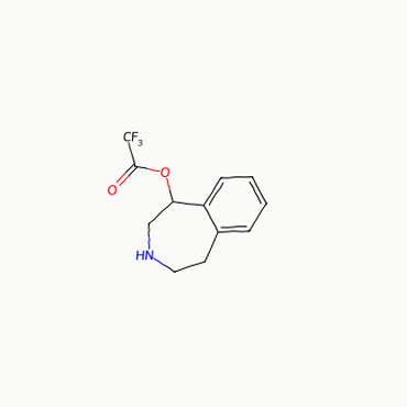 O=C(OC1CNCCc2ccccc21)C(F)(F)F